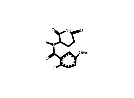 COc1ccc(F)c(C(=O)N(C)C2CCC(=O)NC2=O)c1